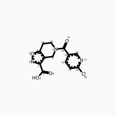 O=C(O)c1noc2c1CN(C(=O)c1ccc(Cl)nc1)CC2